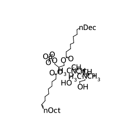 CCCCCCCC/C=C\CCCCCCCC(=O)OC(COC(=O)CCCCCCCCCCCCCCCCC)COP(=O)([O-])[O-].C[N+](C)(C)CCO.C[N+](C)(C)CCO